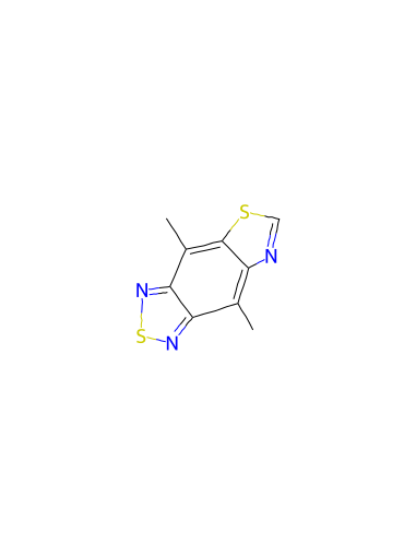 Cc1c2nsnc2c(C)c2scnc12